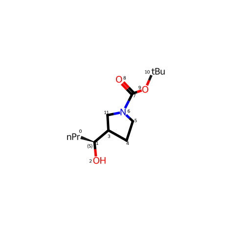 CCC[C@H](O)C1CCN(C(=O)OC(C)(C)C)C1